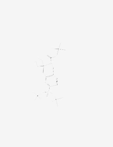 CCC1(CC)Cc2nc(P(=O)(OC(C)(C)C)OC(C)(C)C)ccc2CN1C(=O)OC(C)(C)C